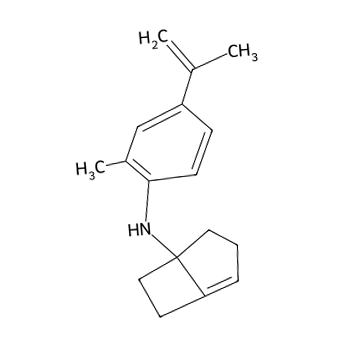 C=C(C)c1ccc(NC23CCC=C2CC3)c(C)c1